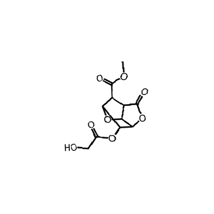 COC(=O)C1C2OC3C(OC(=O)C31)C2OC(=O)CO